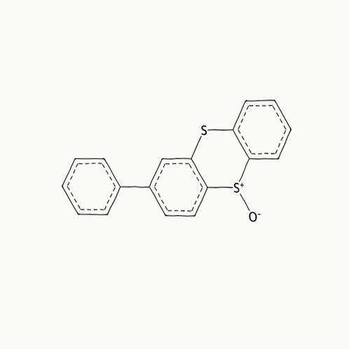 [O-][S+]1c2ccccc2Sc2cc(-c3ccccc3)ccc21